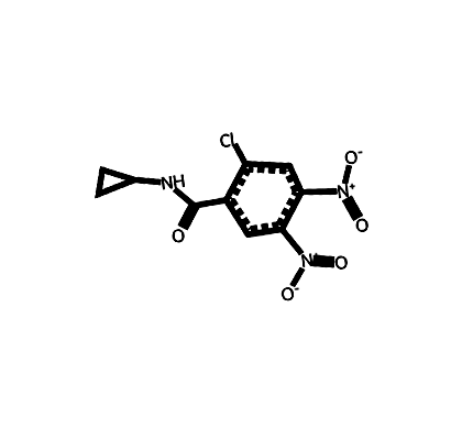 O=C(NC1CC1)c1cc([N+](=O)[O-])c([N+](=O)[O-])cc1Cl